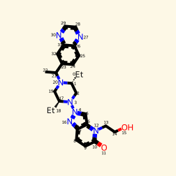 CC[C@@H]1CN(n2cc3c(ccc(=O)n3CCO)n2)[C@@H](CC)CN1C(C)c1ccc2nccnc2c1